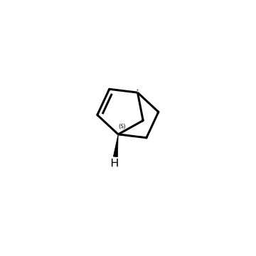 C1=C[C@H]2CC[C]1C2